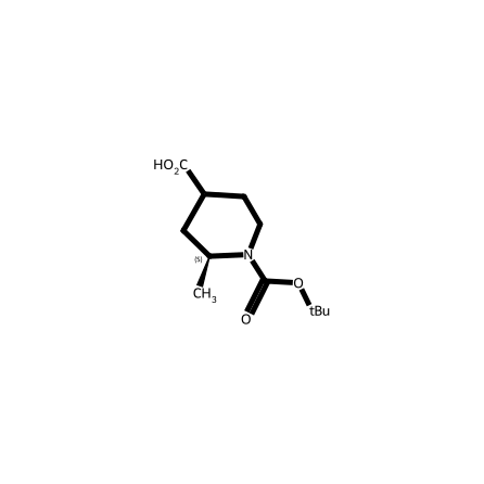 C[C@H]1CC(C(=O)O)CCN1C(=O)OC(C)(C)C